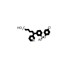 CC(=O)N(Oc1ccc(Cl)cc1)c1cccc(/C(=C/CCCC(=O)O)c2cccnc2)c1